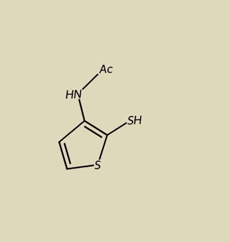 CC(=O)Nc1ccsc1S